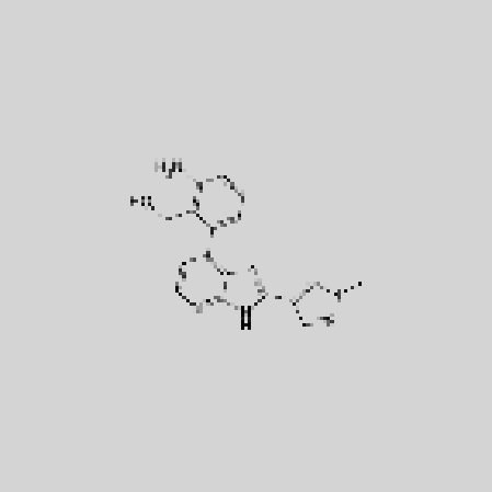 Cn1cc(-c2nc3c(-c4cccc(N)c4CO)ccnc3[nH]2)cn1